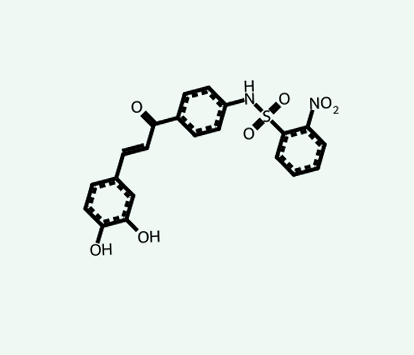 O=C(/C=C/c1ccc(O)c(O)c1)c1ccc(NS(=O)(=O)c2ccccc2[N+](=O)[O-])cc1